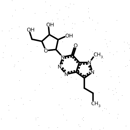 CCCc1nn(C)c2c(=O)n(C3OC(CO)C(O)C3O)nnc12